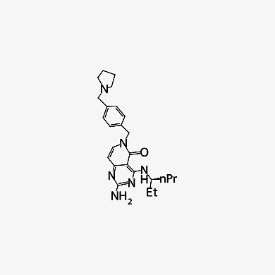 CCC[C@@H](CC)Nc1nc(N)nc2ccn(Cc3ccc(CN4CCCC4)cc3)c(=O)c12